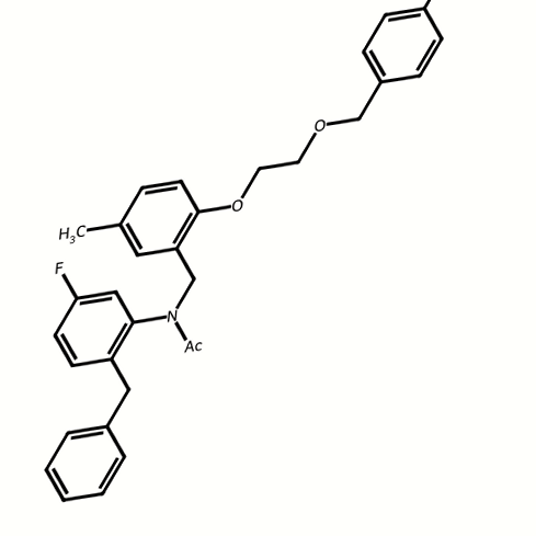 CCc1ccc(COCCOc2ccc(C)cc2CN(C(C)=O)c2cc(F)ccc2Cc2ccccc2)cc1